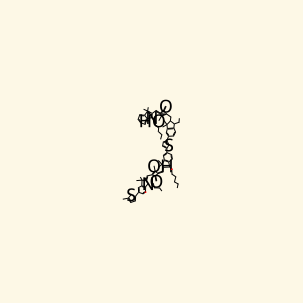 CCCCCCC1c2ccc(-c3ccc(-c4ccc5c(c4)C(C)(C)C(CC4=C(O)/C(=C\C6=[N+](CCCCCC)c7ccccc7C6(C)C)C4=O)C5CC)s3)cc2C(C)(C)C1/C=C1/C(=O)C(/C=C2\N(CCCC)c3ccc(-c4ccc(C)s4)cc3C2(C)C)=C1O